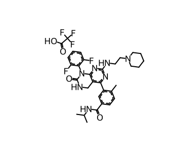 Cc1ccc(C(=O)NC(C)C)cc1-c1nc(NCCN2CCCCC2)nc2c1CNC(=O)N2c1c(F)cccc1F.O=C(O)C(F)(F)F